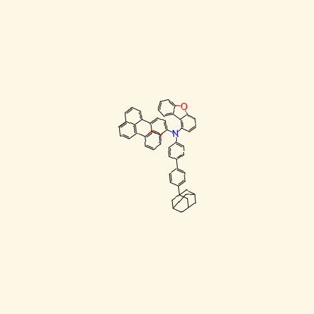 c1ccc(-c2cccc3cccc(-c4ccc(N(c5ccc(-c6ccc(C78CC9CC(CC(C9)C7)C8)cc6)cc5)c5cccc6oc7ccccc7c56)cc4)c23)cc1